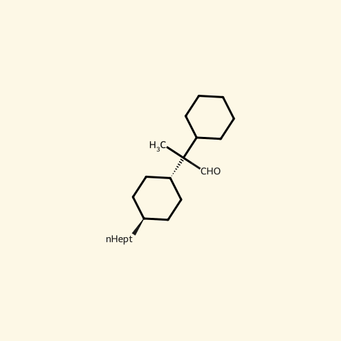 CCCCCCC[C@H]1CC[C@H](C(C)(C=O)C2CCCCC2)CC1